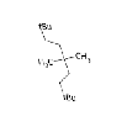 CC(C)(C)CCC(C)(C)CCC(C)(C)C